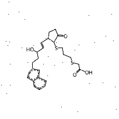 O=C(O)CSCCCSC1C(=O)CCC1C=CC(O)CCc1ccc2ccccc2c1